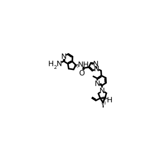 C=CC12CN(c3ccc(Cn4cc(C(=O)N[C@@H]5CCc6c5ccnc6N)cn4)c(C)n3)C[C@H]1[C@H]2C